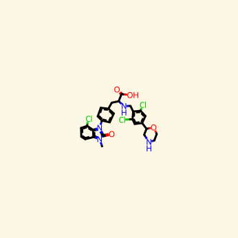 Cn1c(=O)n(-c2ccc(CC(NCc3c(Cl)cc(C4CNCCO4)cc3Cl)C(=O)O)cc2)c2c(Cl)cccc21